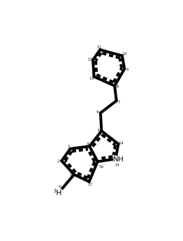 [3H]c1ccc2c(CCc3ccccc3)c[nH]c2c1